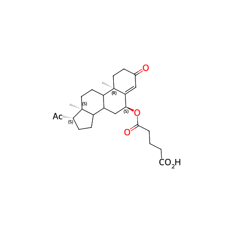 CC(=O)[C@H]1CCC2C3C[C@H](OC(=O)CCCC(=O)O)C4=CC(=O)CC[C@]4(C)C3CC[C@@]21C